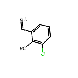 C=Cc1cccc(Cl)c1C#N